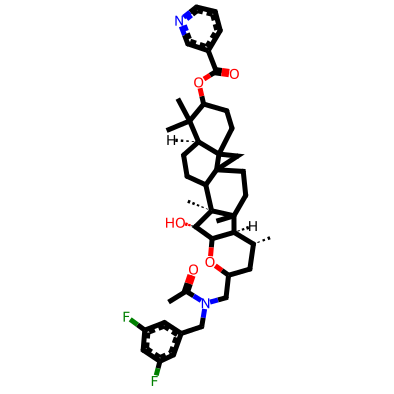 CC(=O)N(Cc1cc(F)cc(F)c1)CC1C[C@@H](C)[C@H]2C(O1)[C@H](O)[C@@]1(C)C3CC[C@H]4C(C)(C)C(OC(=O)c5cccnc5)CCC45CC35CCC21C